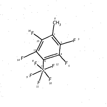 Cc1c(F)c(F)c(S(F)(F)(F)(F)F)c(F)c1F